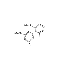 COc1cccc(C)c1.COc1cccc(C)c1